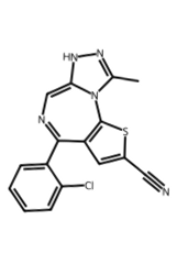 CC1=NNC2=CN=C(c3ccccc3Cl)c3cc(C#N)sc3N21